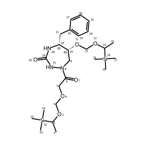 CC(OCOCC(=O)N1C[C@@H](OCOC(C)[Si](C)(C)C)[C@@H](Cc2ccccc2)NC(=O)N1)[Si](C)(C)C